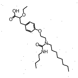 CCCCCCCCN(CCOc1ccc(CC(OCC)C(=O)O)cc1)C(=O)NCCCC